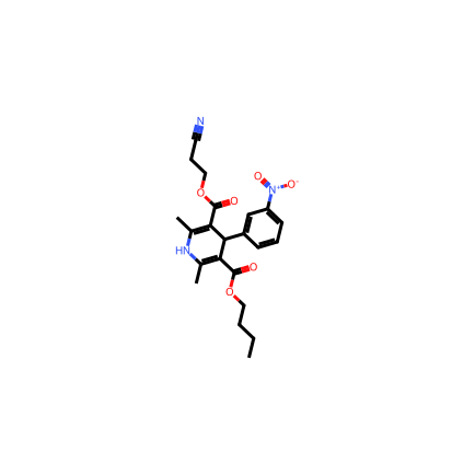 CCCCOC(=O)C1=C(C)NC(C)=C(C(=O)OCCC#N)C1c1cccc([N+](=O)[O-])c1